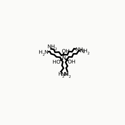 NCCCCCC(O)(CCCCN)N(C(O)(CCCCN)CCCCCN)C(O)(CCCCN)CCCCCN